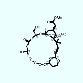 COC(=O)/C=C1\C[C@H]2C[C@H](CO)OC(=O)C[C@H](O)CCOCC[C@@H]3CCO[C@H](/C=C/C(C)(C)[C@](O)(O2)[C@H]1OC(C)=O)O3